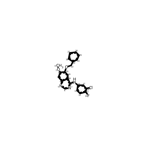 COc1cc2ncnc(Nc3ccc(F)c(Cl)c3)c2cc1OCc1ccccc1